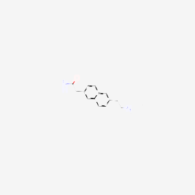 CNC(=O)Cc1ccc2cc(CCN(C)C)ccc2c1